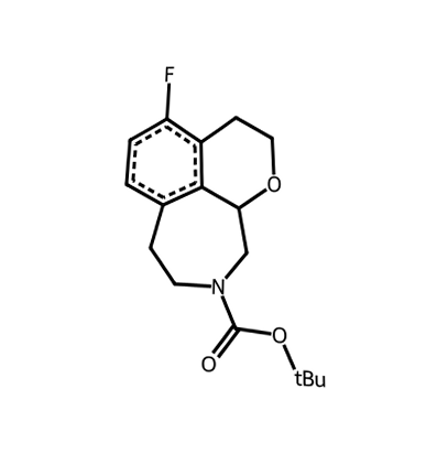 CC(C)(C)OC(=O)N1CCc2ccc(F)c3c2C(C1)OCC3